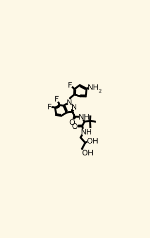 CC(C)(C)C(NC(=O)c1nn(Cc2ccc(N)cc2F)c2c(F)c(F)ccc12)C(=O)NCC(O)CO